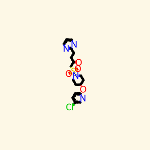 O=C(CCc1ncccn1)CS(=O)(=O)N1CCC(Oc2ccc(Cl)cn2)CC1